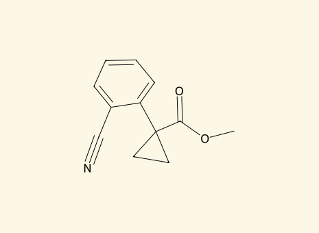 COC(=O)C1(c2ccccc2C#N)CC1